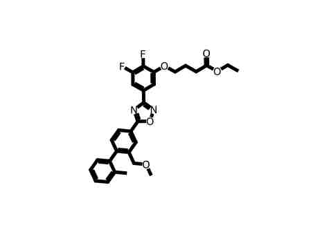 CCOC(=O)CCCOc1cc(-c2noc(-c3ccc(-c4ccccc4C)c(COC)c3)n2)cc(F)c1F